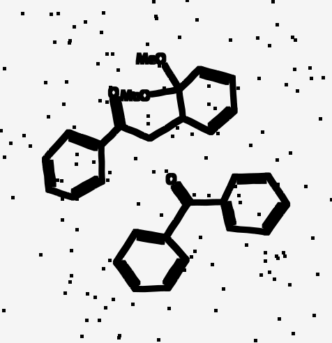 COC1(OC)C=CC=CC1CC(=O)c1ccccc1.O=C(c1ccccc1)c1ccccc1